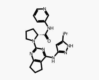 CC(C)c1cc(Nc2nc(N3CCC[C@@H]3C(=O)Nc3cccnc3)nc3c2CCC3)n[nH]1